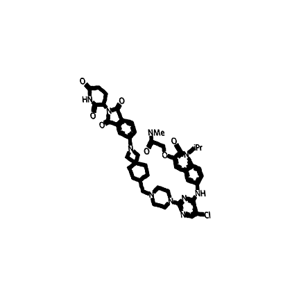 CNC(=O)COc1cc2cc(Nc3nc(N4CCN(CC5CCC6(CC5)CN(c5ccc7c(c5)C(=O)N(C5CCC(=O)NC5=O)C7=O)C6)CC4)ncc3Cl)ccc2n(C(C)C)c1=O